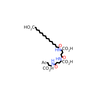 CC(=O)CC[C@H](NC(=O)CC[C@H](NC(=O)CC[C@H](NC(=O)CCCCCCCCCCCCCCC(=O)O)C(=O)O)C(=O)O)C(=O)O